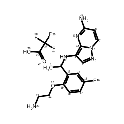 CC(Nc1cnn2ccc(N)nc12)c1cc(F)ccc1OCCN.O=C(O)C(F)(F)F